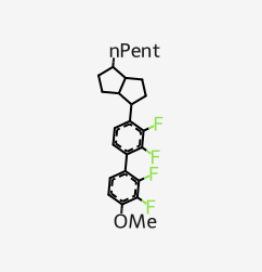 CCCCCC1CCC2C(c3ccc(-c4ccc(OC)c(F)c4F)c(F)c3F)CCC12